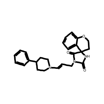 O=C1NC2(CCOc3ccccc32)C(=O)N1CC=CN1CCC(c2ccccc2)CC1